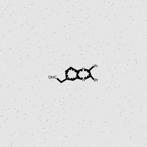 CC(C)c1nc2ccc(CC=O)cc2nc1C(C)C